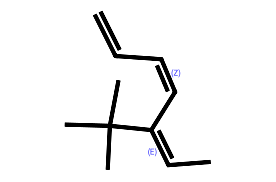 C=C/C=C\C(=C/C)C(C)(C)C